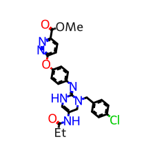 CCC(=O)NC1=CN/C(=N\c2ccc(Oc3ccc(C(=O)OC)nn3)cc2)N(Cc2ccc(Cl)cc2)C1